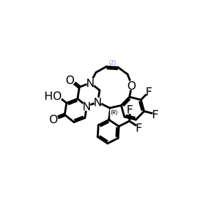 O=C1c2c(O)c(=O)ccn2N2CN1C/C=C\COc1c(ccc(F)c1F)[C@H]2c1ccccc1C(F)F